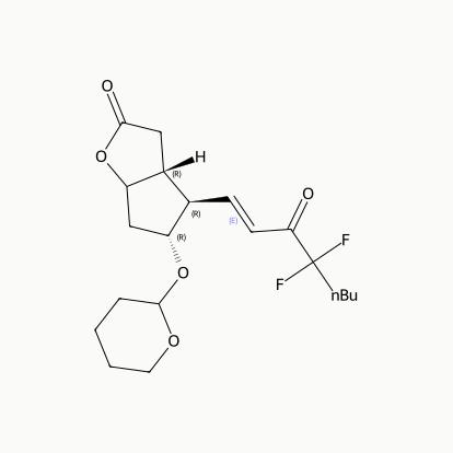 CCCCC(F)(F)C(=O)/C=C/[C@H]1[C@H](OC2CCCCO2)CC2OC(=O)C[C@@H]21